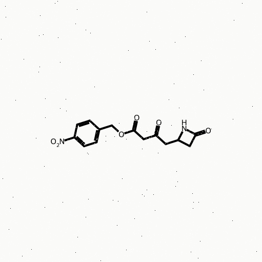 O=C(CC(=O)OCc1ccc([N+](=O)[O-])cc1)CC1CC(=O)N1